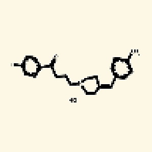 Cc1ccc(C=C2CCN(CCCC(=O)c3ccc(F)cc3)CC2)cc1.Cl